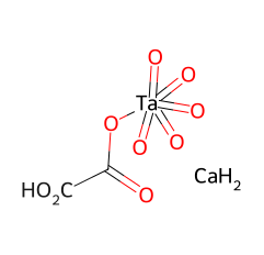 O=C(O)C(=O)[O][Ta](=[O])(=[O])(=[O])(=[O])=[O].[CaH2]